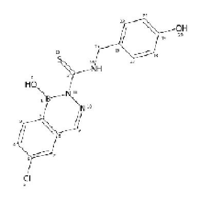 OB1c2ccc(Cl)cc2C=NN1C(=S)NCc1ccc(O)cc1